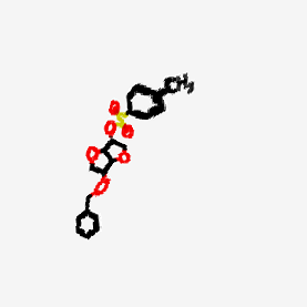 Cc1ccc(S(=O)(=O)O[C@@H]2COC3C2OC[C@@H]3OCc2ccccc2)cc1